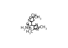 Cc1nn(C)nc1C(C1=NOC(C)(C)C1)S(N)(=O)=O